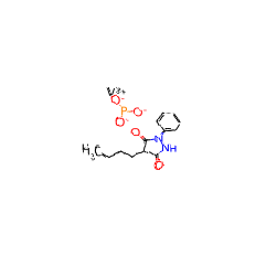 CCCCC1C(=O)NN(c2ccccc2)C1=O.[O-]P([O-])[O-].[V+3]